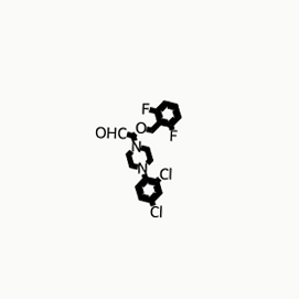 O=CC(OCc1c(F)cccc1F)N1CCN(c2ccc(Cl)cc2Cl)CC1